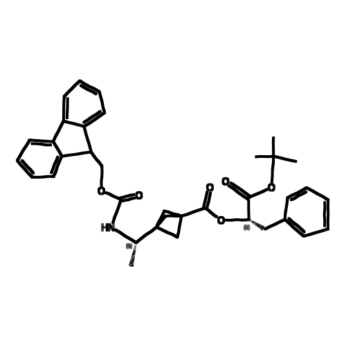 C[C@H](NC(=O)OCC1c2ccccc2-c2ccccc21)C12CC(C(=O)O[C@@H](Cc3ccccc3)C(=O)OC(C)(C)C)(C1)C2